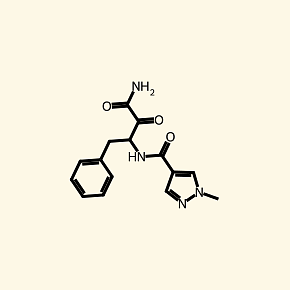 Cn1cc(C(=O)NC(Cc2ccccc2)C(=O)C(N)=O)cn1